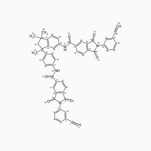 C#Cc1cccc(N2C(=O)c3ccc(C(=O)Nc4ccc(C5(C)CC(C)(C)c6ccc(NC(=O)c7ccc8c(c7)C(=O)N(c7cccc(C#C)c7)C8=O)cc65)cc4)cc3C2=O)c1